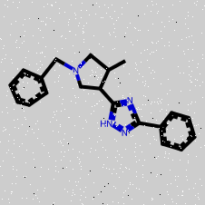 CC1CN(Cc2ccccc2)CC1c1nc(-c2ccccc2)n[nH]1